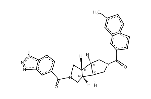 Cc1ccc2ccc(C(=O)N3C[C@@H]4[C@H](C3)[C@H]3CN(C(=O)c5ccc6[nH]nnc6c5)C[C@@H]43)cc2c1